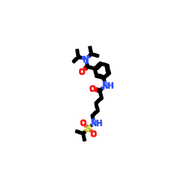 CC(C)N(C(=O)c1cccc(NC(=O)CCCCNS(=O)(=O)C(C)C)c1)C(C)C